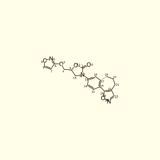 O=C1OC(COc2ccon2)CN1c1ccc2c(c1)CCCc1cnoc1-2